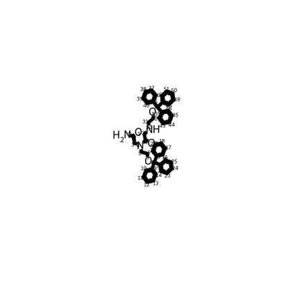 NC(=O)CN(CCOC(c1ccccc1)(c1ccccc1)c1ccccc1)C(=O)CNCCOC(c1ccccc1)(c1ccccc1)c1ccccc1